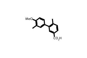 COc1ccc(-c2cc(C(=O)O)ccc2C)cc1C